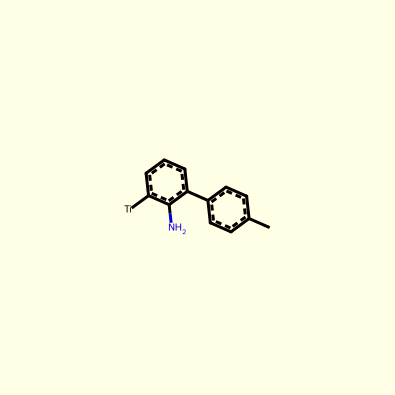 Cc1ccc(-c2ccc[c]([Ti])c2N)cc1